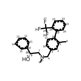 Cc1cc(CN(C)C[C@H](O)c2ccccc2)ccc1-c1ccccc1C(F)(F)F